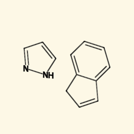 C1=Cc2ccccc2C1.c1cn[nH]c1